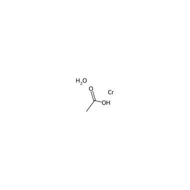 CC(=O)O.O.[Cr]